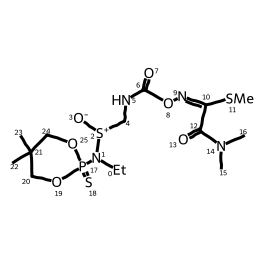 CCN([S+]([O-])CNC(=O)ON=C(SC)C(=O)N(C)C)P1(=S)OCC(C)(C)CO1